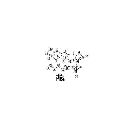 Br.Br.CCCCCCCCCCCC.CCCCCCCCN(C)C.CCCCCCCCN(C)C